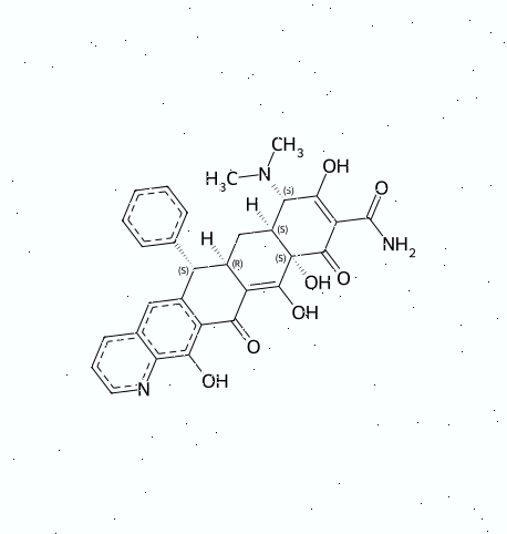 CN(C)[C@@H]1C(O)=C(C(N)=O)C(=O)[C@@]2(O)C(O)=C3C(=O)c4c(cc5cccnc5c4O)[C@H](c4ccccc4)[C@H]3C[C@@H]12